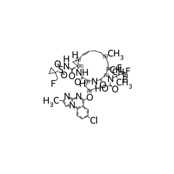 Cc1cn2c(n1)nc(O[C@@H]1C[C@H]3C(=O)N[C@]4(C(=O)NS(=O)(=O)C5(CF)CC5)C[C@H]4C=CCC[C@H](C)C[C@@H](C)[C@H](N(C(=O)O)C(C)(C)C(F)(F)F)C(=O)N3C1)c1cc(Cl)ccc12